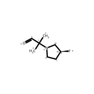 CC(C)(C=O)N1CC[C@H](F)C1